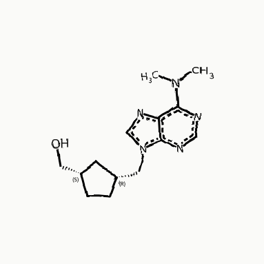 CN(C)c1ncnc2c1ncn2C[C@@H]1CC[C@H](CO)C1